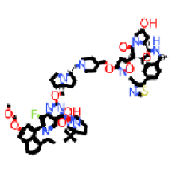 CCc1cccc2cc(OCOC)cc(-c3ncc4c(N5CC6CCC(C(C)(C)C)(C5)N6C(=O)O)nc(OC[C@]56CCCN5[C@H](CN5CCC(COc7cc([C@H](C(=O)N8C[C@H](O)C[C@H]8C(=O)N[C@@H](C)c8ccc(-c9scnc9C)cc8)C(C)C)on7)CC5)CC6)nc4c3F)c12